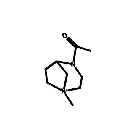 CC(=O)N1CC[N+]2(C)CCC1C2